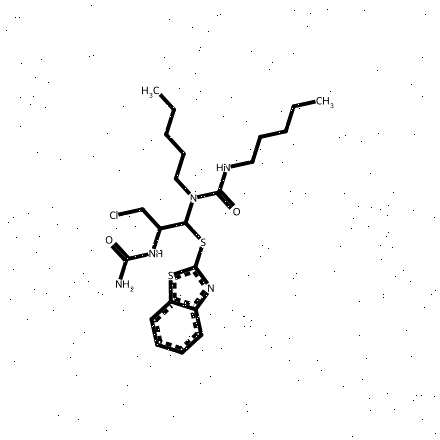 CCCCCNC(=O)N(CCCCC)C(Sc1nc2ccccc2s1)C(CCl)NC(N)=O